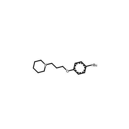 CCCCc1ccc(OCCCN2CCCCC2)cc1